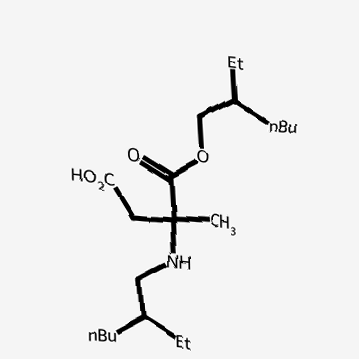 CCCCC(CC)CNC(C)(CC(=O)O)C(=O)OCC(CC)CCCC